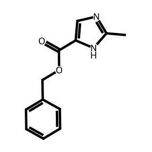 Cc1ncc(C(=O)OCc2ccccc2)[nH]1